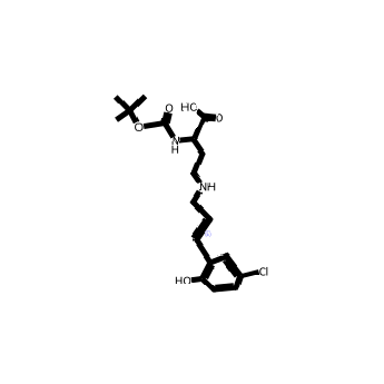 CC(C)(C)OC(=O)NC(CCNC/C=C/c1cc(Cl)ccc1O)C(=O)O